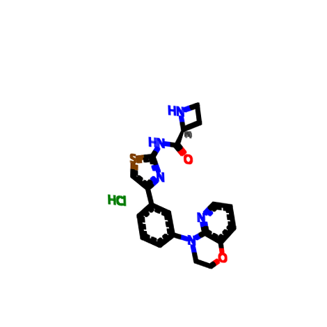 Cl.O=C(Nc1nc(-c2cccc(N3CCOc4cccnc43)c2)cs1)[C@@H]1CCN1